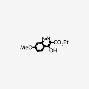 CCOC(=O)c1nnc2cc(OC)ccc2c1O